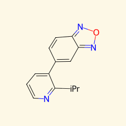 CC(C)c1ncccc1-c1ccc2nonc2c1